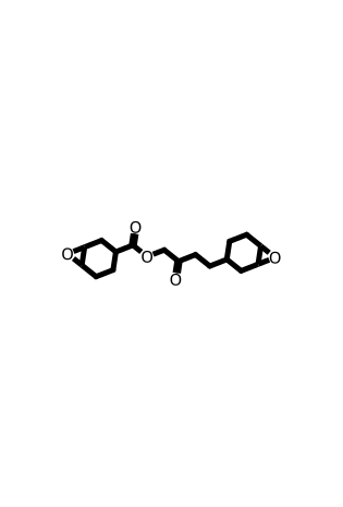 O=C(CCC1CCC2OC2C1)COC(=O)C1CCC2OC2C1